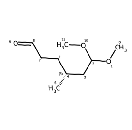 COC(C[C@H](C)CCC=O)OC